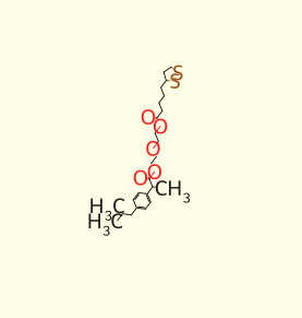 CC(C)Cc1ccc(C(C)C(=O)OCCOCCOC(=O)CCCCC2CCSS2)cc1